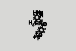 Cc1ccc2[nH]nnc2c1CNC(=O)c1ccc(OC(F)(F)F)cc1